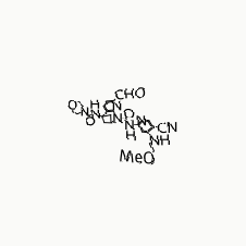 COCCNc1cc(NC(=O)N2c3nc(C=O)ccc3C3(NC(=O)N4CCOCC4)CC2C3)ncc1C#N